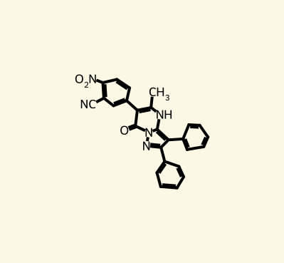 Cc1[nH]c2c(-c3ccccc3)c(-c3ccccc3)nn2c(=O)c1-c1ccc([N+](=O)[O-])c(C#N)c1